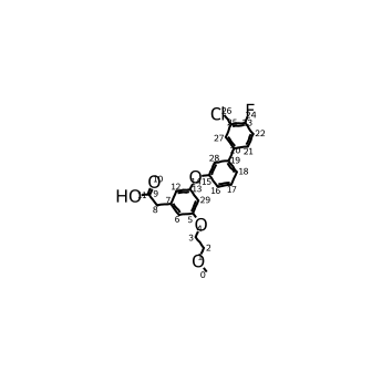 COCCOc1cc(CC(=O)O)cc(Oc2cccc(-c3ccc(F)c(Cl)c3)c2)c1